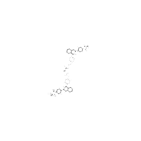 CCNS(=O)(=O)c1ccc(-c2cc3ccccc3c(N3CCN(CCOC(=O)C(=O)OCCN4CCN(c5nc(-c6ccc(S(=O)(=O)NCC)cc6)cc6ccccc56)CC4)CC3)n2)cc1